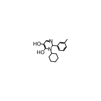 Cc1cccc(C2N=CC(O)=C(O)N2C2CCCCC2)c1